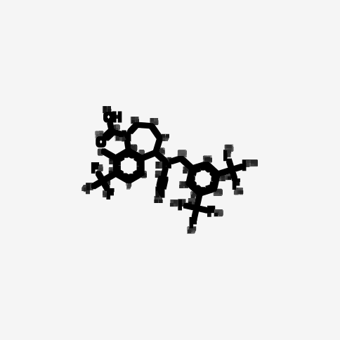 Cc1c(C(F)(F)F)ccc2c1N(C(=O)O)CCCC2N(C#N)Cc1cc(C(F)(F)F)cc(C(F)(F)F)c1